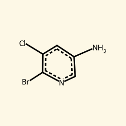 Nc1cnc(Br)c(Cl)c1